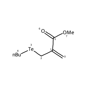 C=C(C[Te]CCCC)C(=O)OC